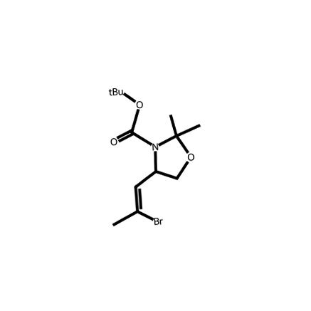 C/C(Br)=C/C1COC(C)(C)N1C(=O)OC(C)(C)C